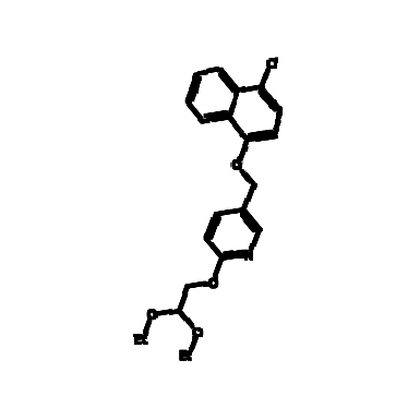 CCOC(COc1ccc(COc2ccc(Cl)c3ccccc23)cn1)OCC